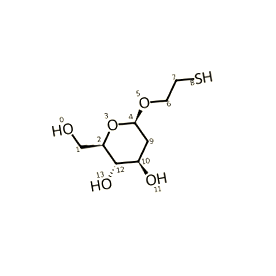 OC[C@H]1O[C@@H](OCCS)C[C@@H](O)[C@@H]1O